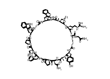 CCCC[C@H]1C(=O)N(C)[C@@H](COCC)C(=O)N[C@@H](CCCNC(=N)N)C(=O)NC(C(=O)NCC(N)=O)CSCC(=O)N[C@@H](Cc2ccc(O)cc2)C(=O)N(C)[C@@H](C)C(=O)N[C@@H](CC(N)=O)C(=O)N2CCC[C@H]2C(=O)N[C@@H](Cc2cnc[nH]2)C(=O)N[C@@H](CC(C)C)C(=O)N2CCC[C@H]2C(=O)N[C@@H](Cc2c[nH]c3ccccc23)C(=O)NCC(=O)N[C@@H](Cc2csc3ccccc23)C(=O)N1C